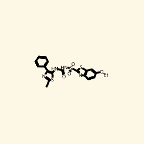 CCOc1ccc2nc(S(=O)(=O)NC(=O)Nc3sc(C)nc3-c3ccccc3)sc2c1